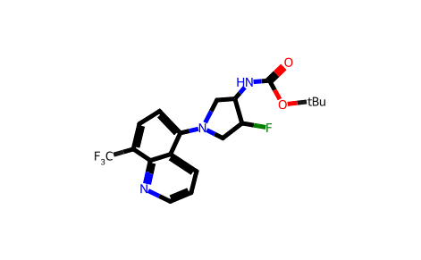 CC(C)(C)OC(=O)NC1CN(c2ccc(C(F)(F)F)c3ncccc23)CC1F